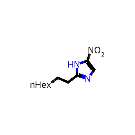 CCCCCCCCc1ncc([N+](=O)[O-])[nH]1